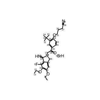 Br.CCOc1cc2c(c(F)c1OCC)C(=N)N(CC(=O)c1ccc(OCCCC#N)c(C(C)(C)C)c1)C2